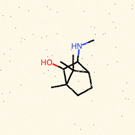 CNC1C2CCC(C)(C1O)C2(C)C